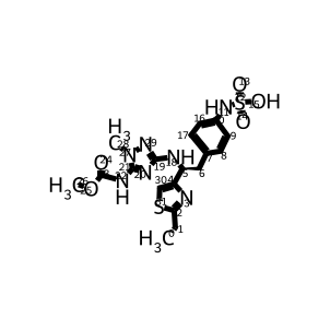 CCc1nc([C@H](Cc2ccc(NS(=O)(=O)O)cc2)Nc2nc(NC(=O)OC)n(C)n2)cs1